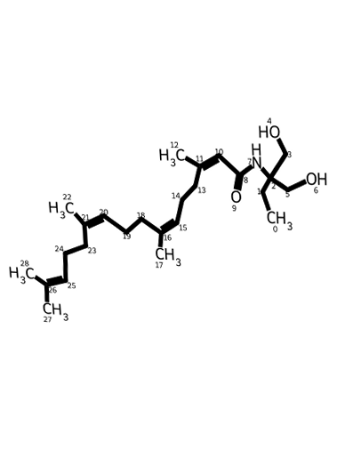 CCC(CO)(CO)NC(=O)C=C(C)CCC=C(C)CCC=C(C)CCC=C(C)C